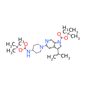 C=C(C)c1cn(C(=O)OC(C)(C)C)c2cnc(N3CCC(NC(=O)OC(C)(C)C)CC3)cc12